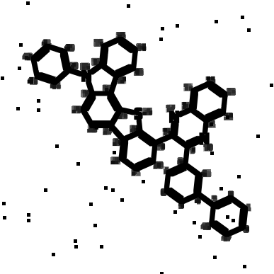 c1ccc(-c2cccc(-c3nc4ccccc4nc3-c3cccc4c3sc3c4ccc4c3c3ccccc3n4-c3ccccc3)c2)cc1